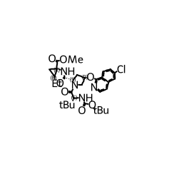 CC[C@@H]1C[C@]1(NC(=O)[C@@H]1C[C@@H](Oc2nccc3cc(Cl)ccc23)CN1C(=O)[C@@H](NC(=O)OC(C)(C)C)C(C)(C)C)C(=O)OC